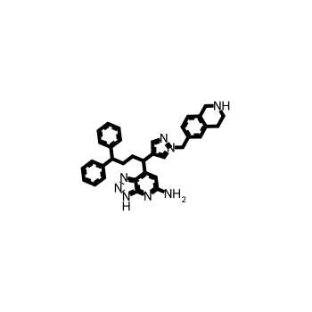 Nc1cc(C(CCC(c2ccccc2)c2ccccc2)c2cnn(Cc3ccc4c(c3)CCNC4)c2)c2nn[nH]c2n1